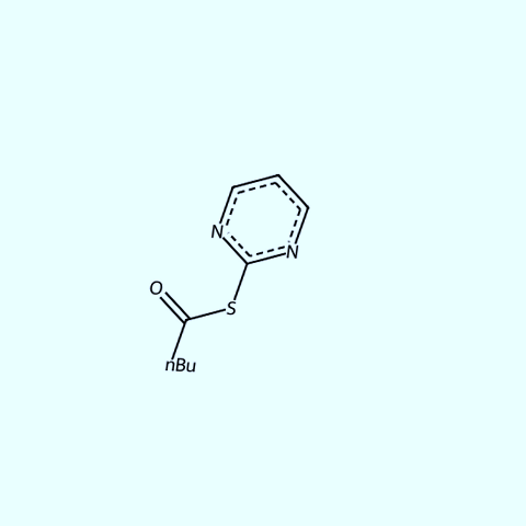 CCCCC(=O)Sc1ncccn1